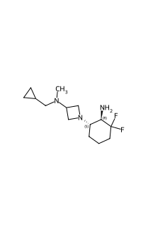 CN(CC1CC1)C1CN([C@H]2CCCC(F)(F)[C@@H]2N)C1